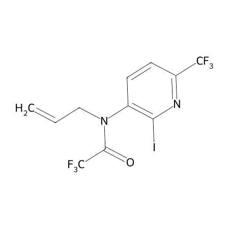 C=CCN(C(=O)C(F)(F)F)c1ccc(C(F)(F)F)nc1I